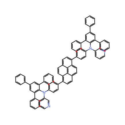 c1ccc(-c2cc(-c3ccccc3)c(N(c3ccc(-c4ccc5ccc6c(-c7ccc(N(c8cccnc8)c8c(-c9ccccc9)cc(-c9ccccc9)cc8-c8ccccc8)cc7)ccc7ccc4c5c76)cc3)c3cccnc3)c(-c3ccccc3)c2)cc1